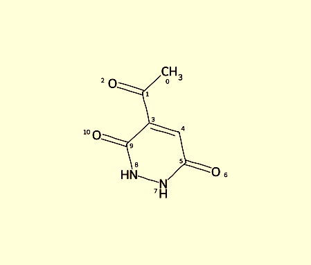 CC(=O)c1cc(=O)[nH][nH]c1=O